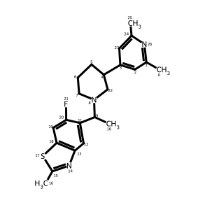 Cc1cc(C2CCCN(C(C)c3cc4nc(C)sc4cc3F)C2)cc(C)n1